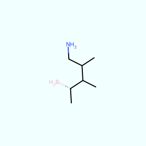 B[C@@H](C)C(C)C(C)CN